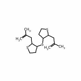 C=C(C)CC1SCCC1SC1CCSC1CC(=C)C